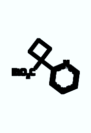 CCOC(=O)C1(c2ccccn2)CCC1